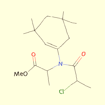 COC(=O)C(C)N(C(=O)C(C)Cl)C1=CC(C)(C)CC(C)(C)C1